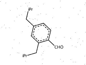 CC(C)Cc1ccc(C=O)c(CC(C)C)c1